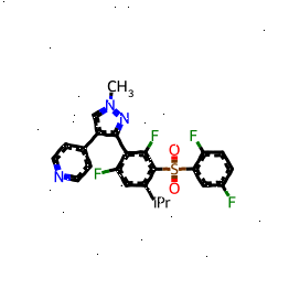 CC(C)c1[c]c(F)c(-c2nn(C)cc2-c2ccncc2)c(F)c1S(=O)(=O)c1cc(F)ccc1F